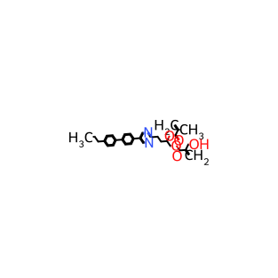 C=C(C)C(=O)OC(CCc1ncc(-c2ccc(-c3ccc(CCC)cc3)cc2)cn1)COC(=O)C(=C)CO